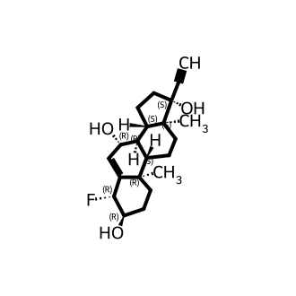 C#C[C@]1(O)CC[C@H]2[C@@H]3[C@@H](O)C=C4[C@@H](F)[C@H](O)CC[C@]4(C)[C@H]3CC[C@@]21C